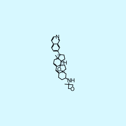 CC1(NC2CCC3=CC4=CC[C@]5(C)[C@@H](c6ccc7ccncc7c6)CC[C@H]5[C@@]45CC[C@]3(C2)O5)COC1